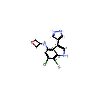 Clc1cc(NC2COC2)c2c(-c3cn[nH]c3)c[nH]c2c1Cl